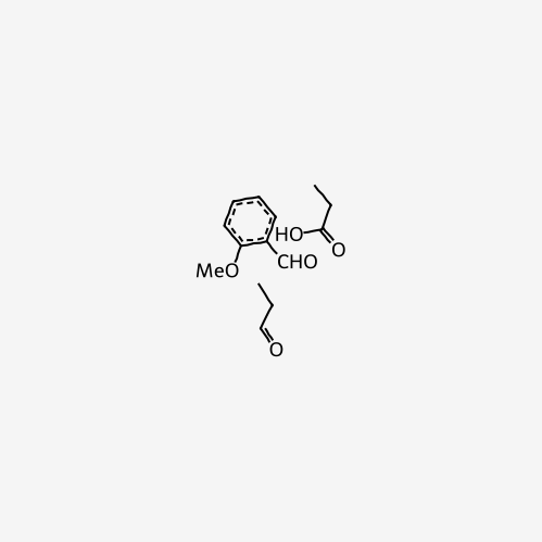 CCC(=O)O.CCC=O.COc1ccccc1C=O